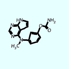 CN(c1cccc(OC(N)=O)c1)c1ncnc2[nH]ccc12